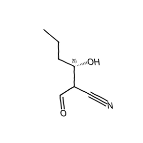 CCC[C@H](O)C(C#N)C=O